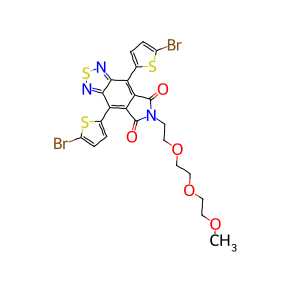 COCCOCCOCCN1C(=O)c2c(c(-c3ccc(Br)s3)c3nsnc3c2-c2ccc(Br)s2)C1=O